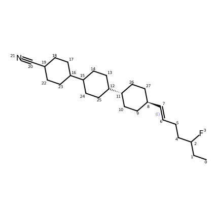 CCC(F)CC/C=C/[C@H]1CC[C@H](C2CCC(C3CCC(C#N)CC3)CC2)CC1